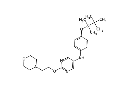 CC(C)(C)[Si](C)(C)Oc1ccc(Nc2cnc(OCCN3CCOCC3)nc2)cc1